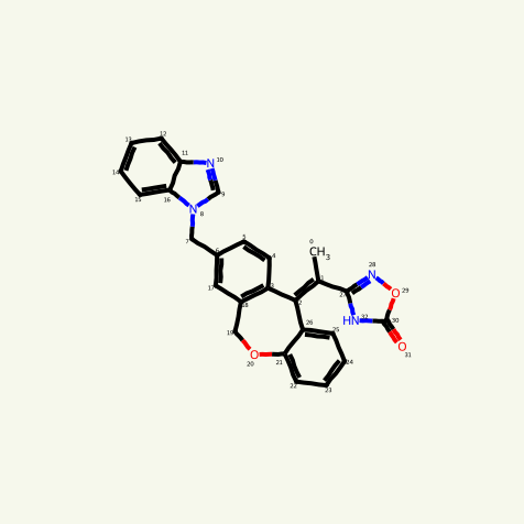 C/C(=C1\c2ccc(Cn3cnc4ccccc43)cc2COc2ccccc21)c1noc(=O)[nH]1